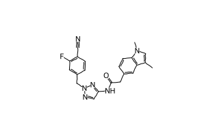 Cc1cn(C)c2ccc(CC(=O)Nc3cnn(Cc4ccc(C#N)c(F)c4)n3)cc12